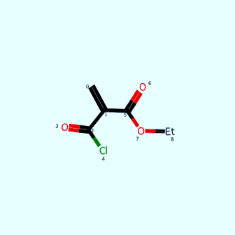 C=C(C(=O)Cl)C(=O)OCC